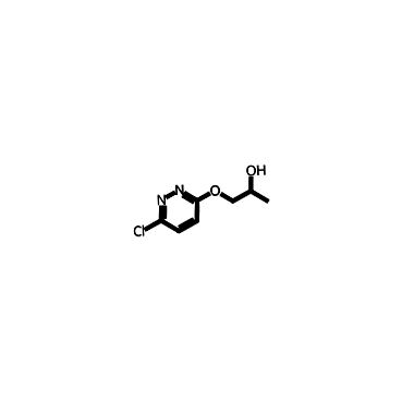 CC(O)COc1ccc(Cl)nn1